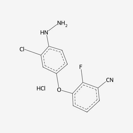 Cl.N#Cc1cccc(Oc2ccc(NN)c(Cl)c2)c1F